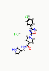 Cl.O=C(NCC1CCNC1)C1CCN(c2nc(-c3ccc(Cl)cc3)no2)CC1